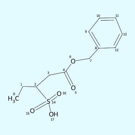 CCC(CC(=O)OCc1ccccc1)S(=O)(=O)O